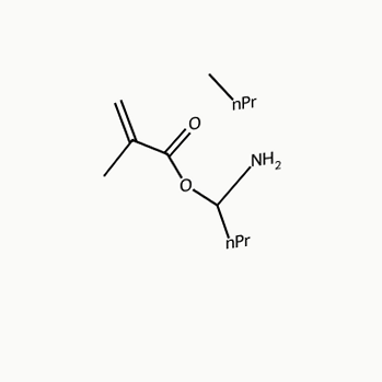 C=C(C)C(=O)OC(N)CCC.CCCC